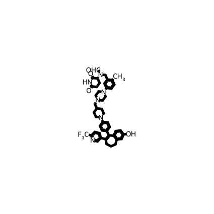 Cc1ccc(N2CCN(CC3CCN(c4ccc(C5=C(c6ccc(C(F)(F)F)nc6)CCCc6cc(O)ccc65)cc4)CC3)CC2)cc1CN(C=O)C1CCC(=O)NC1=O